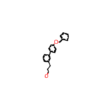 O=CCCc1cccc(-c2ccc(OCc3ccccc3)cc2)c1